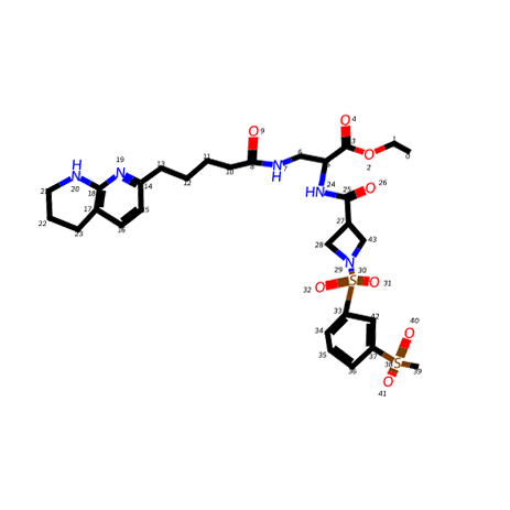 CCOC(=O)C(CNC(=O)CCCCc1ccc2c(n1)NCCC2)NC(=O)C1CN(S(=O)(=O)c2cccc(S(C)(=O)=O)c2)C1